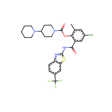 Cc1cc(Cl)cc(C(=O)Nc2nc3ccc(C(F)(F)F)cc3s2)c1OC(=O)N1CCC(N2CCCCC2)CC1